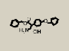 Cl.NCC(C(=O)OCc1ccccc1)c1ccc(OCc2ccccc2)cc1